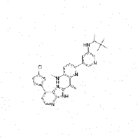 C=C(c1nc2c(-c3ccc(Cl)s3)ccnc2[nH]1)c1nc(-c2cncc(NC(=C)C(C)(C)C)c2)ccc1NC